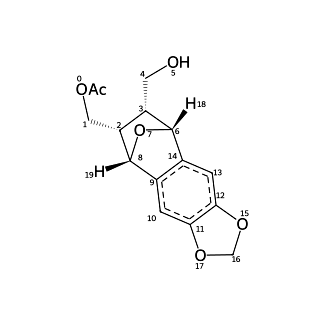 CC(=O)OC[C@@H]1[C@H](CO)[C@H]2O[C@@H]1c1cc3c(cc12)OCO3